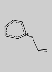 C=[C]S[n+]1ccccc1